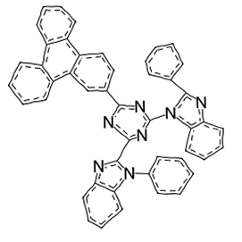 c1ccc(-c2nc3ccccc3n2-c2nc(-c3ccc4c5ccccc5c5ccccc5c4c3)nc(-c3nc4ccccc4n3-c3ccccc3)n2)cc1